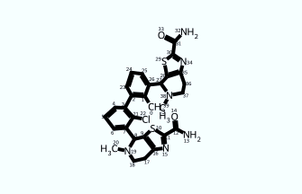 Cc1c(-c2cccc(C3c4sc(C(N)=O)nc4CCN3C)c2Cl)cccc1C1c2sc(C(N)=O)nc2CCN1C